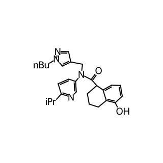 CCCCn1cc(CN(C(=O)C2CCCc3c(O)cccc32)c2ccc(C(C)C)nc2)cn1